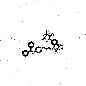 CC(=O)OC(C(N)=O)c1ccc2c(=O)[nH]c(=O)n(CCCCN3CCC(OC(c4ccccc4)c4ccccc4)CC3)c2c1